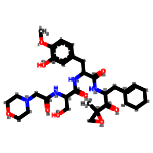 COc1ccc(CC(NC(=O)C(CO)NC(=O)CN2CCOCC2)C(=O)NC(CC2=CCCCC2)C(=O)C2(C)CO2)cc1O